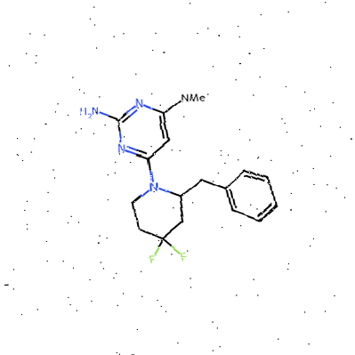 CNc1cc(N2CCC(F)(F)CC2Cc2ccccc2)nc(N)n1